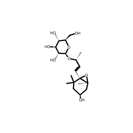 C[C@H](/C=C/[C@]12O[C@@]1(C)C[C@@H](O)CC2(C)C)O[C@@H]1O[C@H](CO)[C@@H](O)[C@H](O)[C@H]1O